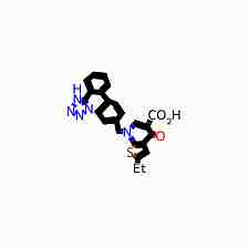 CCc1cc2c(=O)c(C(=O)O)cn(Cc3ccc(-c4ccccc4-c4nnn[nH]4)cc3)c2s1